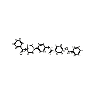 O=C(Nc1ccc(N2CCN(C(=O)c3ccncc3)CC2)cc1)c1ccc(OCc2ccccc2)cc1